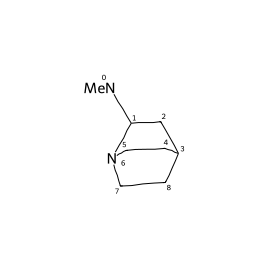 CNC1CC2CCN1CC2